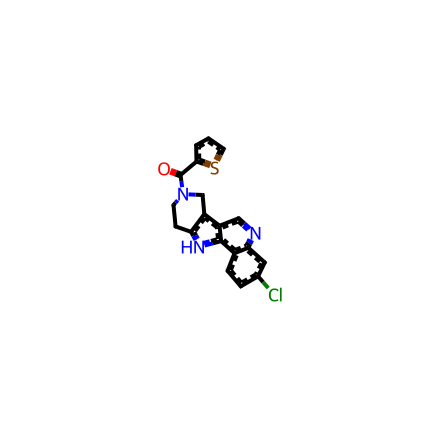 O=C(c1cccs1)N1CCc2[nH]c3c(cnc4cc(Cl)ccc43)c2C1